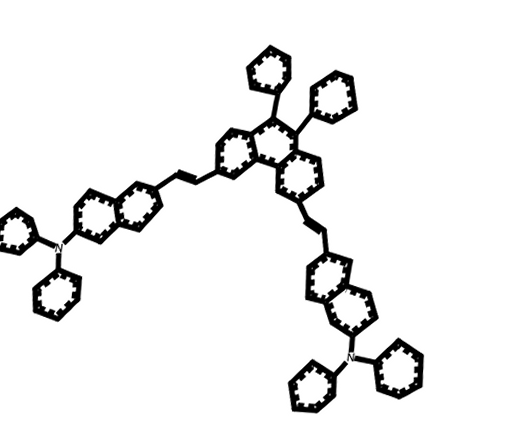 C(=C\c1ccc2c(-c3ccccc3)c(-c3ccccc3)c3ccc(/C=C/c4ccc5cc(N(c6ccccc6)c6ccccc6)ccc5c4)cc3c2c1)/c1ccc2cc(N(c3ccccc3)c3ccccc3)ccc2c1